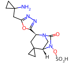 NC1(Cc2nnc([C@@H]3CC4(CC4)[C@@H]4CN3C(=O)N4OS(=O)(=O)O)o2)CC1